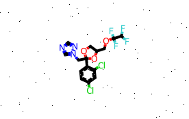 FC(F)C(F)(F)OCC1COC(Cn2cncn2)(c2ccc(Cl)cc2Cl)O1